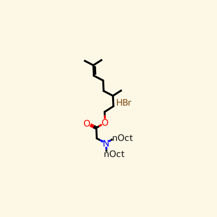 Br.CCCCCCCCN(CCCCCCCC)CC(=O)OCCC(C)CCC=C(C)C